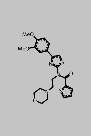 COc1ccc(-c2csc(N(CCN3CCOCC3)C(=O)c3cccs3)n2)cc1OC